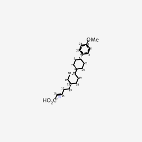 COc1ccc([C@H]2CC[C@H]([C@H]3CC[C@H](CC/C=C/C(=O)O)CC3)CC2)cc1